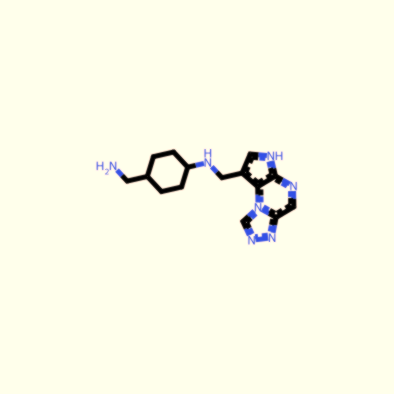 NCC1CCC(NCc2c[nH]c3ncc4nncn4c23)CC1